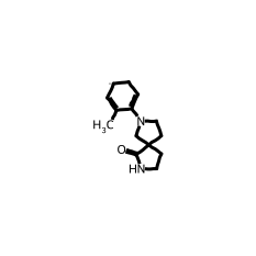 CC1=C[CH]CC=C1N1CCC2(CCNC2=O)C1